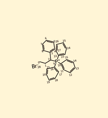 CCC(c1ccccc1)[P+](c1ccccc1)(c1ccccc1)c1ccccc1.[Br-]